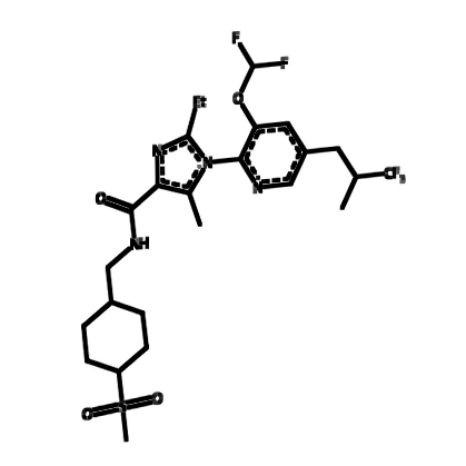 CCc1nc(C(=O)NCC2CCC(S(C)(=O)=O)CC2)c(C)n1-c1ncc(CC(C)C(F)(F)F)cc1OC(F)F